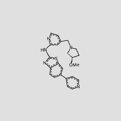 CO[C@@H]1CCN(Cc2ccnc(Nc3nc4ccc(-c5ccncc5)cc4s3)c2)C1